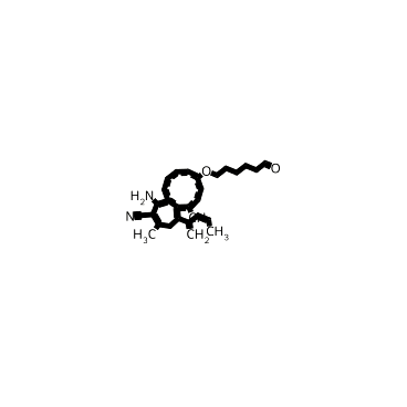 C=C(/C=C\C)C1=c2c(C)ccc(OCCCCCC=O)ccccc2=C(N)C(C#N)=C(C)C1